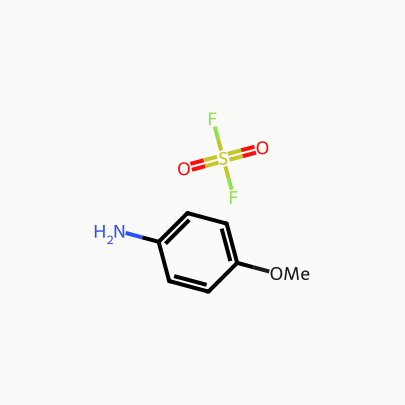 COc1ccc(N)cc1.O=S(=O)(F)F